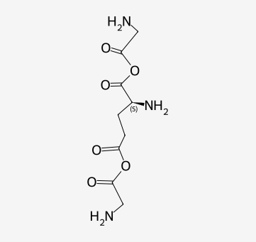 NCC(=O)OC(=O)CC[C@H](N)C(=O)OC(=O)CN